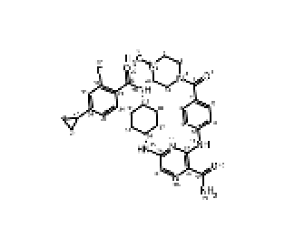 CN1CCN(C(=O)c2ccc(Nc3nc(N[C@H]4CC[C@@H](NC(=O)c5ccc(C6CC6)cc5F)CC4)cnc3C(N)=O)cc2)CC1